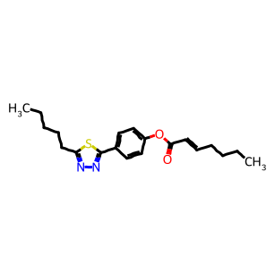 CCCCC=CC(=O)Oc1ccc(-c2nnc(CCCCC)s2)cc1